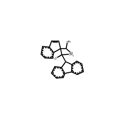 CCCC(CC)C1(C(C)(C)C2c3ccccc3-c3ccccc32)C=Cc2ccccc21